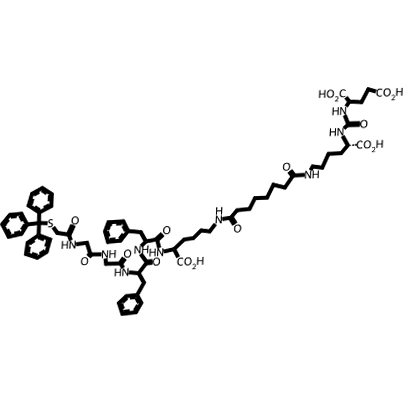 O=C(O)CCC(NC(=O)N[C@@H](CCCCNC(=O)CCCCCCC(=O)NCCCCC(NC(=O)C(Cc1ccccc1)NC(=O)C(Cc1ccccc1)NC(=O)CNC(=O)CNC(=O)CSC(c1ccccc1)(c1ccccc1)c1ccccc1)C(=O)O)C(=O)O)C(=O)O